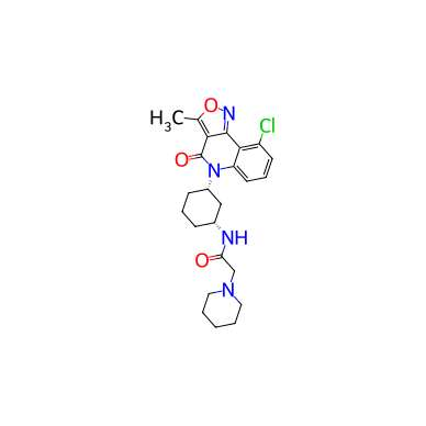 Cc1onc2c1c(=O)n([C@H]1CCC[C@@H](NC(=O)CN3CCCCC3)C1)c1cccc(Cl)c21